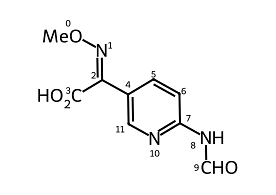 CO/N=C(\C(=O)O)c1ccc(NC=O)nc1